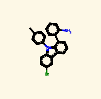 Cc1ccc(-n2c3ccc(Br)cc3c3cccc(-c4ccccc4N)c32)cc1